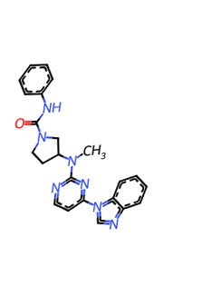 CN(c1nccc(-n2cnc3ccccc32)n1)C1CCN(C(=O)Nc2ccccc2)C1